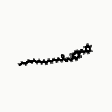 CCCCCCCCCCCCCCCCCC(=O)OCCc1ccc(OCc2ccccc2)cc1